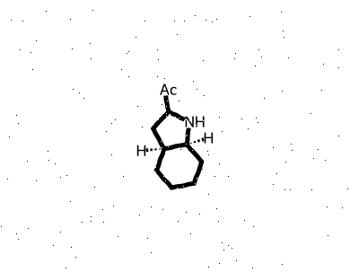 CC(=O)C1C[C@@H]2CCCC[C@@H]2N1